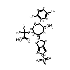 CS(=O)(=O)n1cc2c(n1)CN([C@H]1CCS[C@H](c3cc(F)ccc3F)[C@@H](N)C1)C2.O=C(O)C(F)(F)F